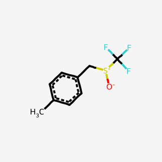 Cc1ccc(C[S+]([O-])C(F)(F)F)cc1